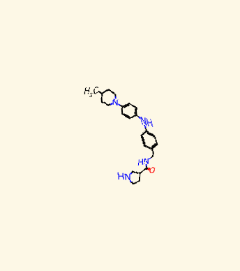 CC1CCN(c2ccc(Nc3ccc(CNC(=O)C4CCNC4)cc3)cc2)CC1